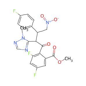 COC(=O)c1cc(F)cc(F)c1C(=O)C(c1ncnn1C)C(C[N+](=O)[O-])c1ccc(F)cc1